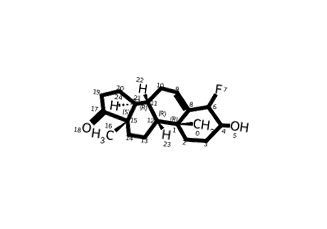 C[C@]12CCC(O)C(F)C1=CC[C@@H]1[C@H]2CC[C@]2(C)C(=O)CC[C@@H]12